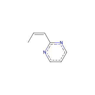 C/C=C\c1ncccn1